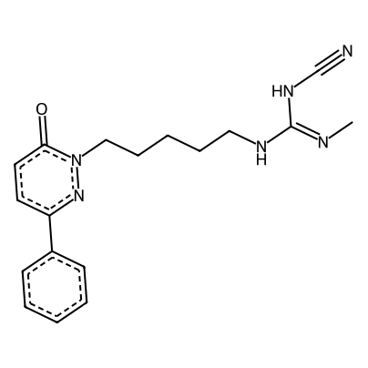 C/N=C(\NC#N)NCCCCCn1nc(-c2ccccc2)ccc1=O